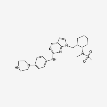 CN(C1CCCCC1Cn1ccc2cnc(Nc3ccc(N4CCNCC4)cc3)nc21)S(C)(=O)=O